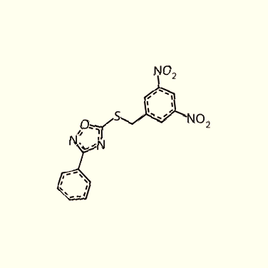 O=[N+]([O-])c1cc(CSc2nc(-c3ccccc3)no2)cc([N+](=O)[O-])c1